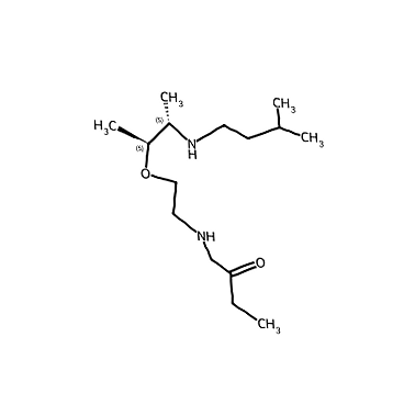 CCC(=O)CNCCO[C@@H](C)[C@H](C)NCCC(C)C